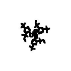 CCC(C)(C)c1cc(C(C)(C)C)ccc1OP(Oc1ccc(C(C)(C)C)cc1C(C)(C)CC)Oc1ccc(C(C)(C)C)cc1C(C)(C)CC